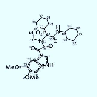 COc1cc2[nH]cc(C(=O)C(=O)N(CC(=O)O)C(C(=O)NC3CCCCC3)C3CCCCC3)c2cc1OC